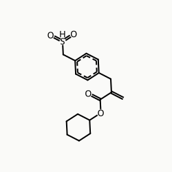 C=C(Cc1ccc(C[SH](=O)=O)cc1)C(=O)OC1CCCCC1